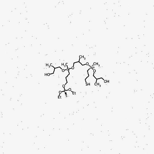 CCOP(=S)(OCC)OCCC[Si](C)(OCC(C)CO)OCC(C)CO[Si@@](C)(CCCS)OCC(C)CO